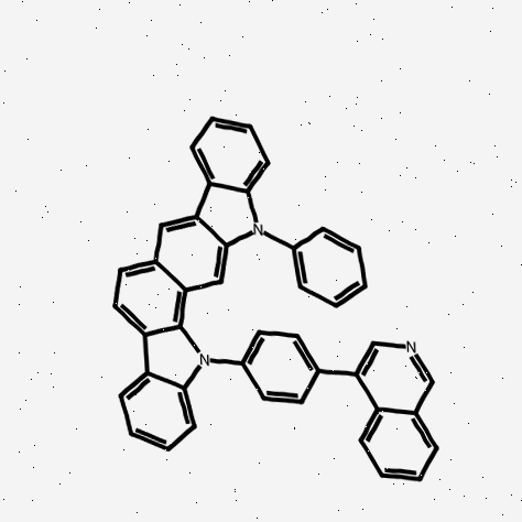 c1ccc(-n2c3ccccc3c3cc4ccc5c6ccccc6n(-c6ccc(-c7cncc8ccccc78)cc6)c5c4cc32)cc1